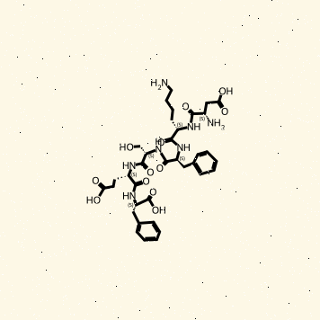 NCCCC[C@H](NC(=O)[C@@H](N)CC(=O)O)C(=O)N[C@@H](Cc1ccccc1)C(=O)N[C@@H](CO)C(=O)N[C@@H](CCC(=O)O)C(=O)N[C@@H](Cc1ccccc1)C(=O)O